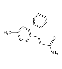 Cc1ccc(C=CC(N)=O)cc1.c1ccccc1